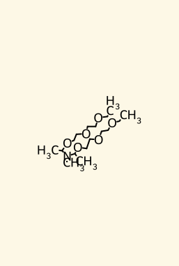 CCOCCOCCOC(C)N(C)C(C)OCCOCCOCC